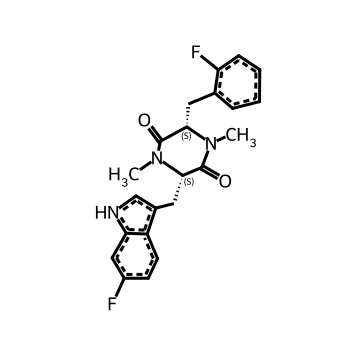 CN1C(=O)[C@H](Cc2c[nH]c3cc(F)ccc23)N(C)C(=O)[C@@H]1Cc1ccccc1F